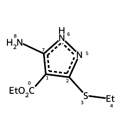 CCOC(=O)c1c(SCC)n[nH]c1N